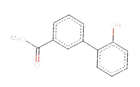 COC(=O)c1cccc(-c2ccccc2O)c1